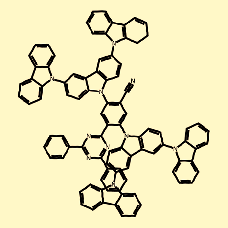 N#Cc1cc(-n2c3ccc(-n4c5ccccc5c5ccccc54)cc3c3cc(-n4c5ccccc5c5ccccc54)ccc32)c(-c2nc(-c3ccccc3)nc(-c3ccccc3)n2)cc1-n1c2ccc(-n3c4c(c5ccccc53)C=CCC4)cc2c2cc(-n3c4ccccc4c4ccccc43)ccc21